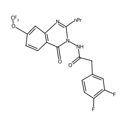 CCCc1nc2cc(OC(F)(F)F)ccc2c(=O)n1NC(=O)Cc1ccc(F)c(F)c1